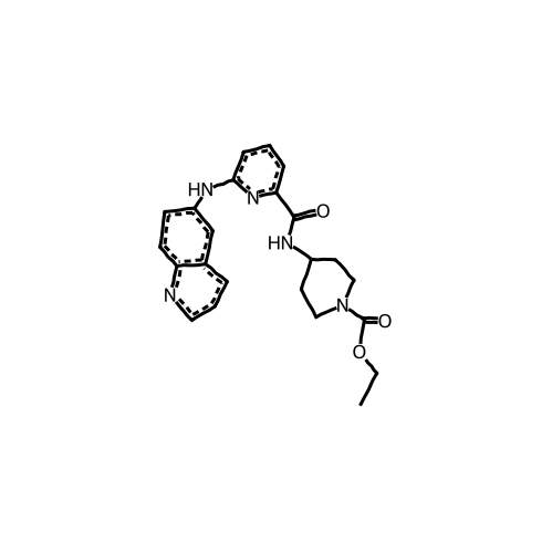 CCOC(=O)N1CCC(NC(=O)c2cccc(Nc3ccc4ncccc4c3)n2)CC1